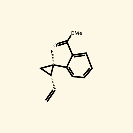 C=C[C@@H]1C[C@@]1(F)c1ccccc1C(=O)OC